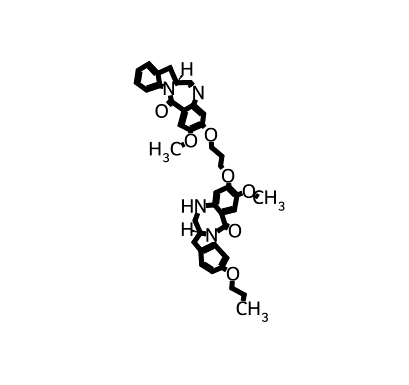 CCCOc1ccc2c(c1)N1C(=O)c3cc(OC)c(OCCCOc4cc5c(cc4OC)C(=O)N4c6ccccc6C[C@H]4C=N5)cc3NC[C@@H]1C2